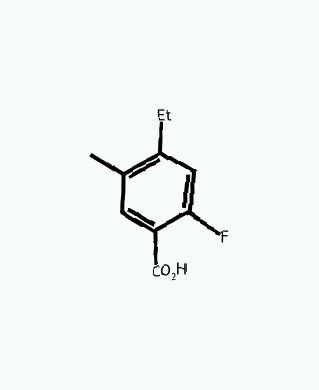 CCc1cc(F)c(C(=O)O)cc1C